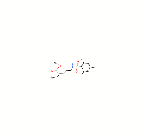 Cc1cc(C)c(S(=O)(=O)NCCC=C(CC(C)C)C(=O)OC(C)(C)C)c(C)c1